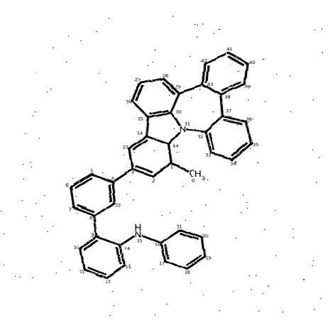 CC1C=C(c2cccc(-c3ccccc3Nc3ccccc3)c2)C=C2c3cccc4c3N(c3ccccc3-c3ccccc3-4)C21